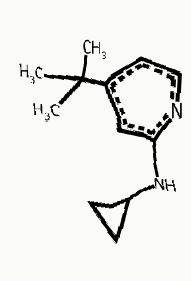 CC(C)(C)c1ccnc(NC2CC2)c1